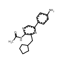 CC(=O)Nc1ncc(-c2ccc(N)cc2)nc1CC1CCCC1